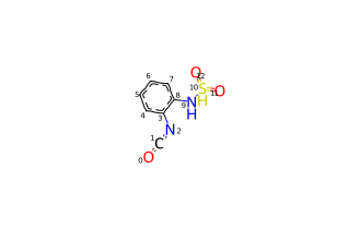 O=C=Nc1ccccc1N[SH](=O)=O